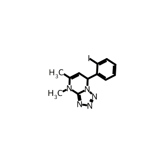 CC1=CC(c2ccccc2I)n2nnnc2N1C